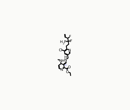 C=CC(F)C(F)(P)CCc1ncc(CN/C=C2/C(C(=O)OCC)=NC=CC2NC)cc1Cl